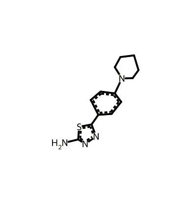 Nc1nnc(-c2ccc(N3CCCCC3)cc2)s1